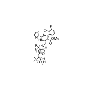 COC(=O)C1=C(CN2CC(F)(F)[C@H]3[C@@H]2CON3C[C@H](O)C(C)(C)C(=O)O)NC(c2nccs2)=N[C@H]1c1cccc(F)c1Cl